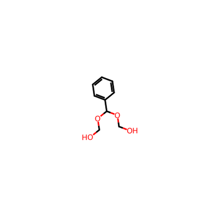 OCOC(OCO)c1ccccc1